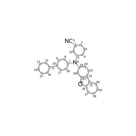 N#Cc1cccc(N(c2ccc(-c3ccccc3)cc2)c2ccc3c(c2)oc2ccccc23)c1